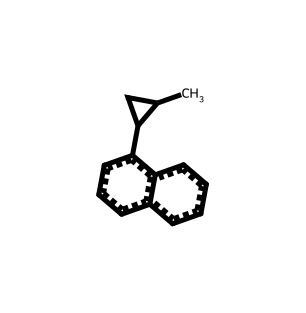 CC1CC1c1cccc2ccccc12